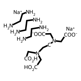 NCCN.NCCN.NCCN.O=C([O-])CN(CCN(CC(=O)O)CC(=O)O)CC(=O)[O-].[Na+].[Na+]